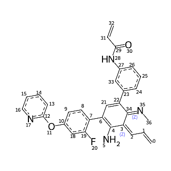 C=C/C=C1/C(N)=C(c2ccc(Oc3ccccn3)cc2F)C=C(c2cccc(NC(=O)C=C)c2)/C1=N/C